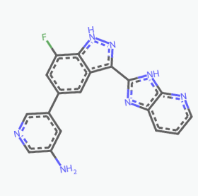 Nc1cncc(-c2cc(F)c3[nH]nc(-c4nc5cccnc5[nH]4)c3c2)c1